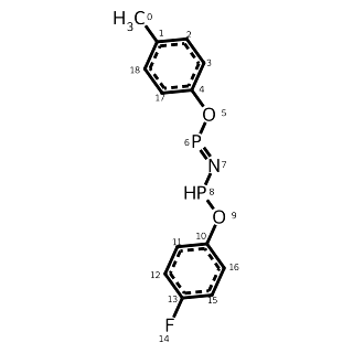 Cc1ccc(OP=NPOc2ccc(F)cc2)cc1